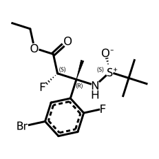 CCOC(=O)[C@@H](F)[C@](C)(N[S@+]([O-])C(C)(C)C)c1cc(Br)ccc1F